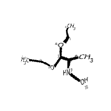 CCOC(OCC)C(C)NO